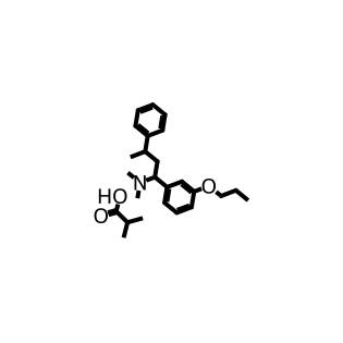 CC(C)C(=O)O.CCCOc1cccc(C(CC(C)c2ccccc2)N(C)C)c1